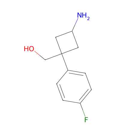 NC1CC(CO)(c2ccc(F)cc2)C1